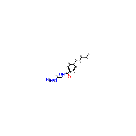 CCCCCc1ccc(C(=O)NCCN=[N+]=[N-])cc1